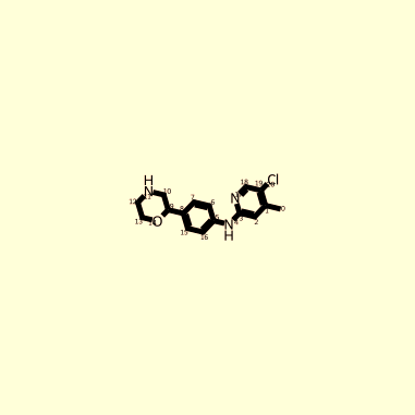 Cc1cc(Nc2ccc(C3CNCCO3)cc2)ncc1Cl